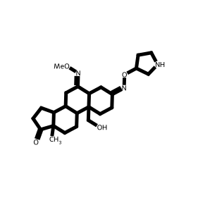 CO/N=C1\CC2C3CCC(=O)C3(C)CCC2C2(CO)CC/C(=N/OC3CCNC3)CC12